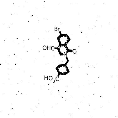 O=Cc1cn(Cc2ccc(C(=O)O)cc2)c(=O)c2ccc(Br)cc12